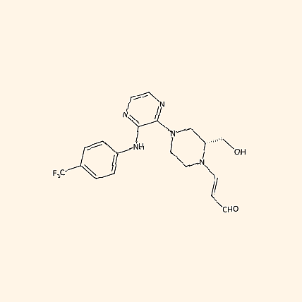 O=CC=CN1CCN(c2nccnc2Nc2ccc(C(F)(F)F)cc2)C[C@@H]1CO